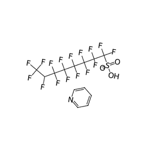 O=S(=O)(O)C(F)(F)C(F)(F)C(F)(F)C(F)(F)C(F)(F)C(F)(F)C(F)C(F)(F)F.c1ccncc1